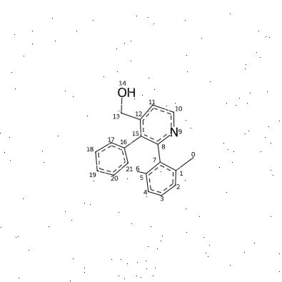 Cc1cccc(C)c1-c1nccc(CO)c1-c1ccccc1